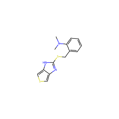 CN(C)c1ccccc1CSc1nc2cscc2[nH]1